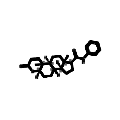 C[C@]12C=CC(=O)S[C@@H]1CC[C@@H]1[C@@H]2CC[C@]2(C)[C@@H](C(=O)Nc3ccccc3)CC[C@@H]12